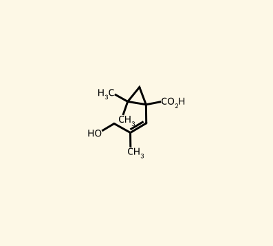 CC(=CC1(C(=O)O)CC1(C)C)CO